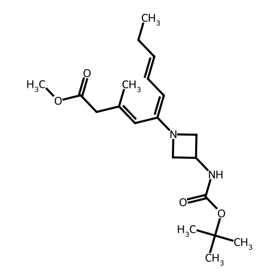 CC/C=C/C=C(\C=C(/C)CC(=O)OC)N1CC(NC(=O)OC(C)(C)C)C1